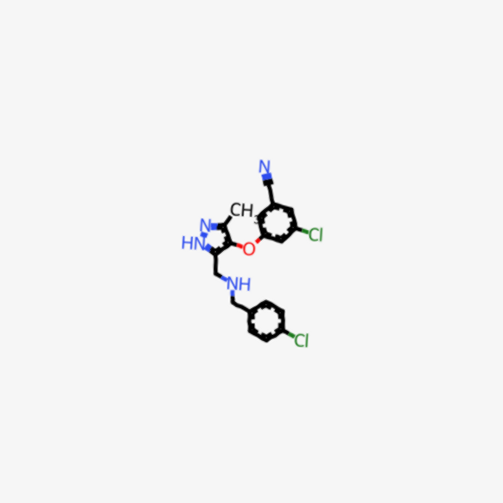 Cc1n[nH]c(CNCc2ccc(Cl)cc2)c1Oc1cc(Cl)cc(C#N)c1